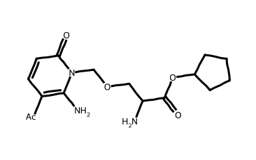 CC(=O)c1ccc(=O)n(COCC(N)C(=O)OC2CCCC2)c1N